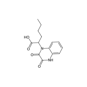 CCCCC(C(=O)O)n1c(=O)c(=O)[nH]c2ccccc21